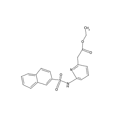 CCOC(=O)Cc1cccc(NS(=O)(=O)c2ccc3ccccc3c2)n1